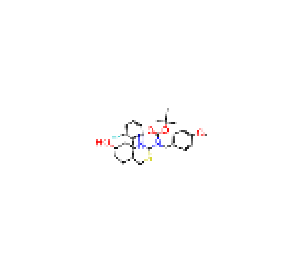 COc1ccc(CN(C(=O)OC(C)(C)C)C2NC3(c4ccccc4F)CC(O)CCC3CS2)cc1